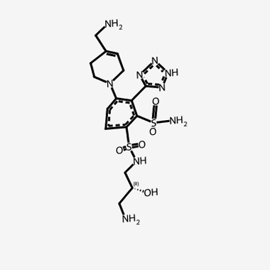 NCC1=CCN(c2ccc(S(=O)(=O)NC[C@H](O)CN)c(S(N)(=O)=O)c2-c2nn[nH]n2)CC1